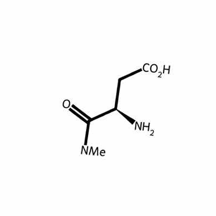 CNC(=O)[C@H](N)CC(=O)O